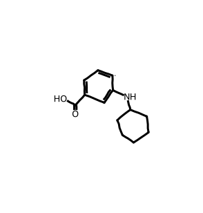 O=C(O)c1cc[c]c(NC2CCCCC2)c1